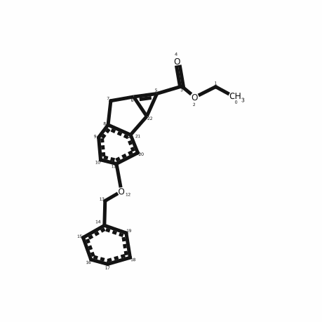 CCOC(=O)C1=C2Cc3ccc(OCc4ccccc4)cc3C21